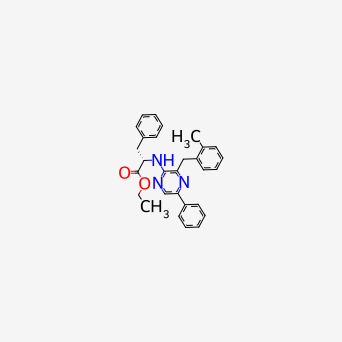 CCOC(=O)[C@H](Cc1ccccc1)Nc1ncc(-c2ccccc2)nc1Cc1ccccc1C